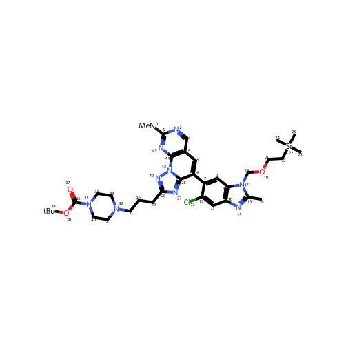 CNc1ncc2cc(-c3cc4c(cc3Cl)nc(C)n4COCC[Si](C)(C)C)c3nc(CCCN4CCN(C(=O)OC(C)(C)C)CC4)nn3c2n1